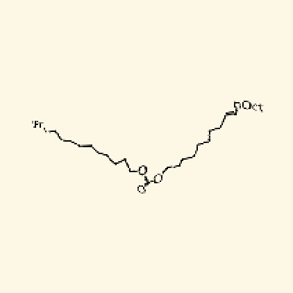 CCCCCCCCC=CCCCCCCCCOC(=O)OCCCCCCCCCCCC(C)C